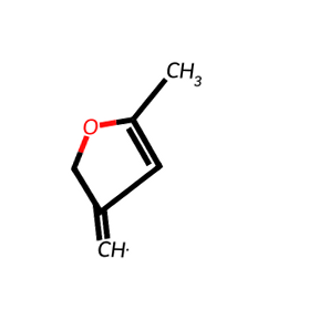 [CH]=C1C=C(C)OC1